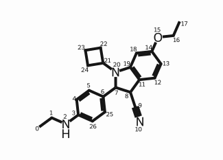 CCNc1ccc(C2C(C#N)c3ccc(OCC)cc3N2C2CCC2)cc1